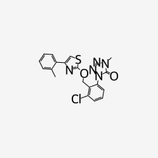 Cc1ccccc1-c1csc(OCc2c(Cl)cccc2-n2nnn(C)c2=O)n1